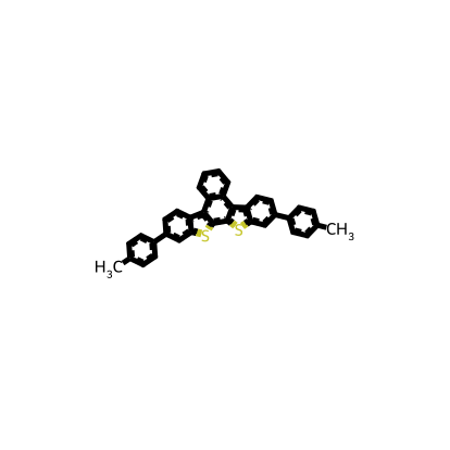 Cc1ccc(-c2ccc3c(c2)sc2c4sc5cc(-c6ccc(C)cc6)ccc5c4c4ccccc4c32)cc1